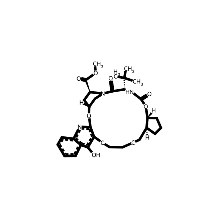 COC(=O)[C@@H]1C[C@@H]2CN1C(=O)[C@H](C(C)(C)C)NC(=O)O[C@@H]1CCC[C@H]1CCCCCc1c(nc3ccccc3c1O)O2